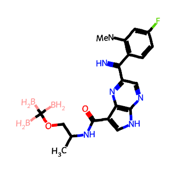 BC(B)(B)OCC(C)NC(=O)c1c[nH]c2ncc(C(=N)c3ccc(F)cc3NC)nc12